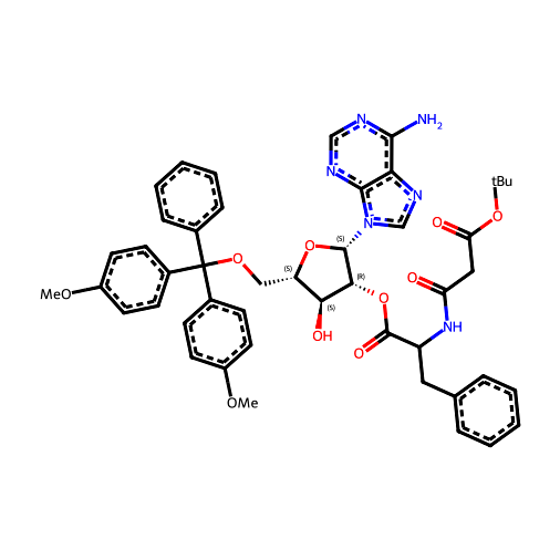 COc1ccc(C(OC[C@@H]2O[C@H](n3cnc4c(N)ncnc43)[C@H](OC(=O)C(Cc3ccccc3)NC(=O)CC(=O)OC(C)(C)C)[C@H]2O)(c2ccccc2)c2ccc(OC)cc2)cc1